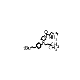 CC(C)=CCN(c1ccc(CCC(C)(C)C)cc1)C1CCN(C(=O)[C@@H](N)CC(C)C)C1